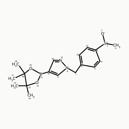 C[S+]([O-])c1ccc(Cn2cc(B3OC(C)(C)C(C)(C)O3)cn2)cc1